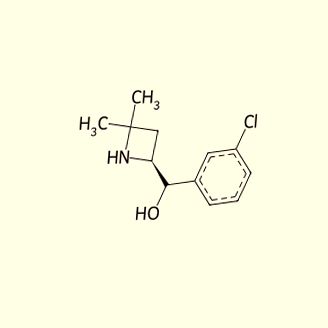 CC1(C)C[C@@H](C(O)c2cccc(Cl)c2)N1